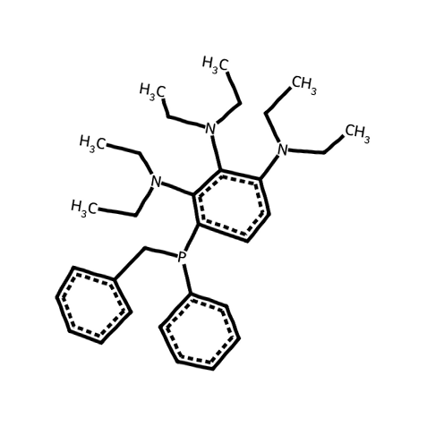 CCN(CC)c1ccc(P(Cc2ccccc2)c2ccccc2)c(N(CC)CC)c1N(CC)CC